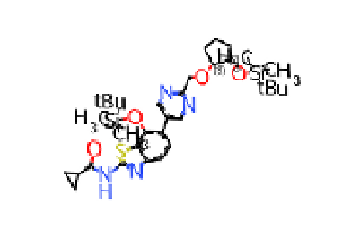 CC(C)(C)[Si](C)(C)Oc1c(-c2cnc(CO[C@H]3CCC[C@@H]3O[Si](C)(C)C(C)(C)C)nc2)ccc2nc(NC(=O)C3CC3)sc12